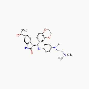 COC(=O)c1ccc2c(c1)NC(=O)/C2=C(\Nc1ccc(N(CCN(C)C)C(C)=O)cc1)c1ccc2c(c1)OCCO2